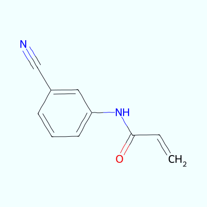 C=CC(=O)Nc1cccc(C#N)c1